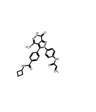 C=CC(=O)Nc1ccc(-n2nc3c(=O)[nH]nc(N)c3c2-c2ccc(C(=O)NC3CCC3)cc2)cc1